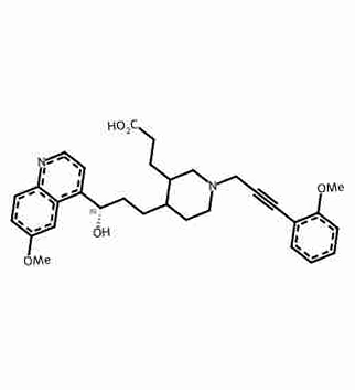 COc1ccc2nccc([C@@H](O)CCC3CCN(CC#Cc4ccccc4OC)CC3CCC(=O)O)c2c1